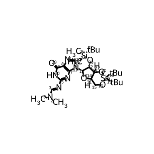 CN(C)/C=N/c1nc2c(ncn2[C@@H]2O[C@@H]3CO[Si](C(C)(C)C)(C(C)(C)C)O[C@H]3[C@H]2O[Si](C)(C)C(C)(C)C)c(=O)[nH]1